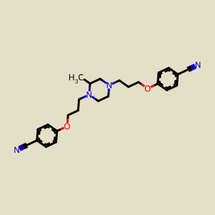 CC1CN(CCCOc2ccc(C#N)cc2)CCN1CCCOc1ccc(C#N)cc1